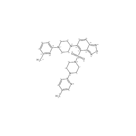 Cc1ccc(N2CCN(S(=O)(=O)c3c(N4CCN(c5cccc(C)n5)CC4)ccc4nonc34)CC2)nc1